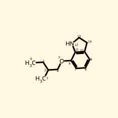 CCC(C)COc1cccc2c1NCC2